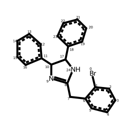 Brc1ccccc1CC1=NC(c2ccccc2)C(c2ccccc2)N1